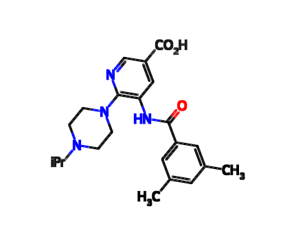 Cc1cc(C)cc(C(=O)Nc2cc(C(=O)O)cnc2N2CCN(C(C)C)CC2)c1